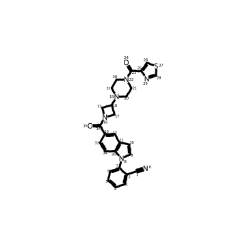 N#Cc1ccccc1-n1ccc2cc(C(=O)N3CC(N4CCN(C(=O)c5cscn5)CC4)C3)ccc21